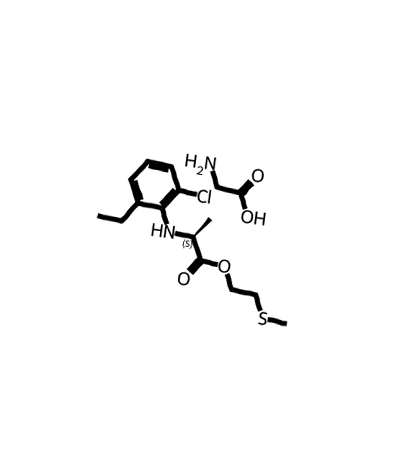 CCc1cccc(Cl)c1N[C@@H](C)C(=O)OCCSC.NCC(=O)O